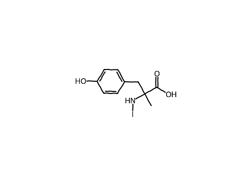 CC(Cc1ccc(O)cc1)(NI)C(=O)O